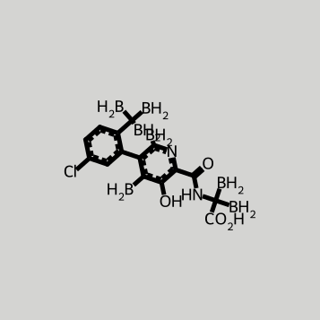 Bc1nc(C(=O)NC(B)(B)C(=O)O)c(O)c(B)c1-c1cc(Cl)ccc1C(B)(B)B